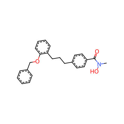 CN(O)C(=O)c1ccc(CCCc2ccccc2OCc2ccccc2)cc1